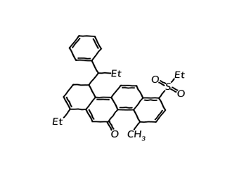 CCC1=CCC(C(CC)c2ccccc2)C2=c3ccc4c(c3C(=O)C=C12)C(C)C=CC=4S(=O)(=O)CC